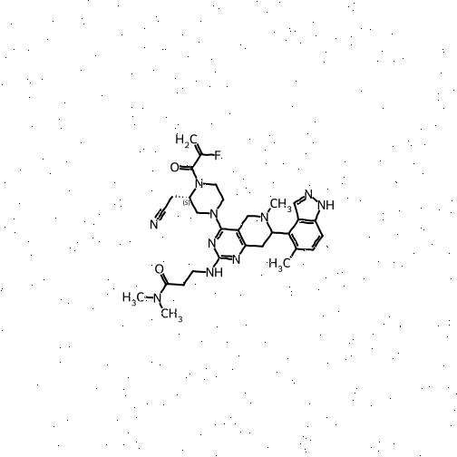 C=C(F)C(=O)N1CCN(c2nc(NCCC(=O)N(C)C)nc3c2CN(C)C(c2c(C)ccc4[nH]ncc24)C3)C[C@@H]1CC#N